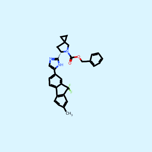 Cc1ccc2c(c1)C(F)(F)c1cc(-c3cnc([C@@H]4CC5(CC5)CN4C(=O)OCc4ccccc4)[nH]3)ccc1-2